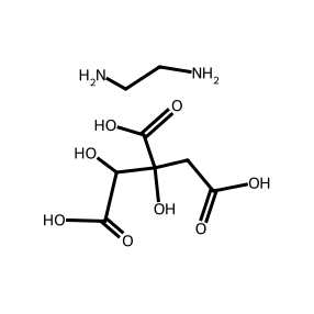 NCCN.O=C(O)CC(O)(C(=O)O)C(O)C(=O)O